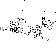 C=C1C[C@H]2[C@H](O)N(B(C)O)c3cc(OCCCCCOc4cc5c(cc4OC)C(=O)N4CC(=C)C[C@H]4[C@H](O)N5C(=O)OC[C@@H](C)SSc4ncccc4[N+](=O)[O-])c(OC)cc3C(=O)N2C1